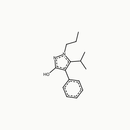 CCCn1nc(O)c(-c2ccccc2)c1C(C)C